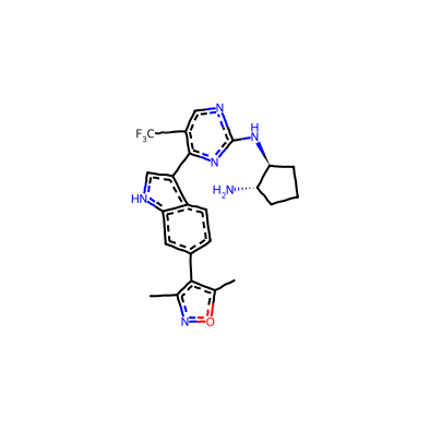 Cc1noc(C)c1-c1ccc2c(-c3nc(N[C@H]4CCC[C@@H]4N)ncc3C(F)(F)F)c[nH]c2c1